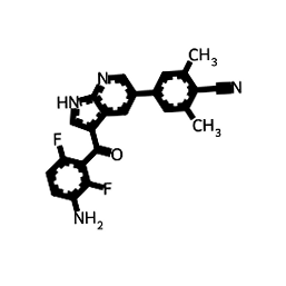 Cc1cc(-c2cnc3[nH]cc(C(=O)c4c(F)ccc(N)c4F)c3c2)cc(C)c1C#N